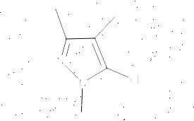 [CH2]c1c(C)nn(C)c1Cl